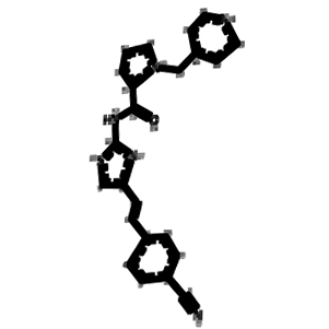 N#Cc1ccc(C=Cc2csc(NC(=O)c3cccn3Cc3ccncc3)n2)cc1